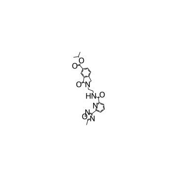 Cc1nc(-c2cccc(C(=O)NCCN3Cc4ccc(C(=O)OC(C)C)cc4C3=O)n2)no1